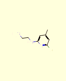 Cc1cc(Br)nc(NCCN)c1